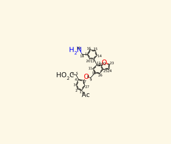 CC(=O)c1ccc(CC(=O)O)c(OCc2cc(-c3cccc(CN)c3)c3occc3c2)c1